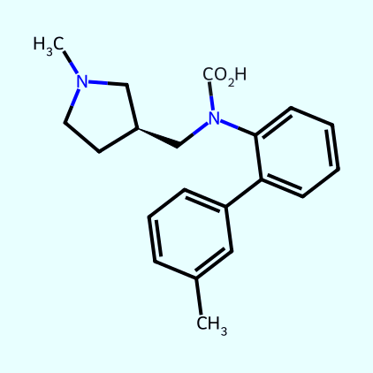 Cc1cccc(-c2ccccc2N(C[C@H]2CCN(C)C2)C(=O)O)c1